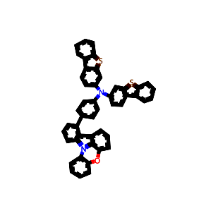 c1ccc2c(c1)Oc1cccc3c4c(-c5ccc(N(c6ccc7c(c6)sc6ccccc67)c6ccc7c(c6)sc6ccccc67)cc5)cccc4n-2c13